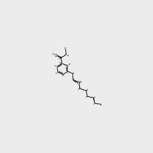 CCCCCCN=CCc1cccc(C(=O)CC)n1